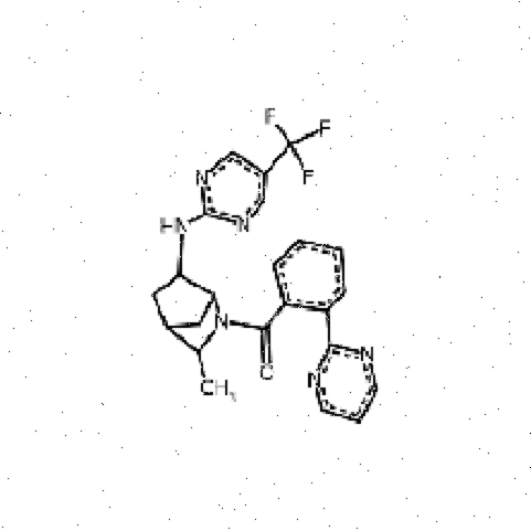 CC1C2CC(Nc3ncc(C(F)(F)F)cn3)C(C2)N1C(=O)c1ccccc1-c1ncccn1